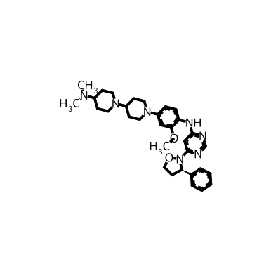 COc1cc(N2CCC(N3CCC(N(C)C)CC3)CC2)ccc1Nc1cc(N2OCC[C@@H]2c2ccccc2)ncn1